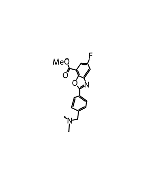 COC(=O)c1cc(F)cc2nc(-c3ccc(CN(C)C)cc3)oc12